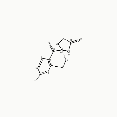 Cc1ccc2c(c1)CC[C@@]1(CCC(=O)O1)C2=O